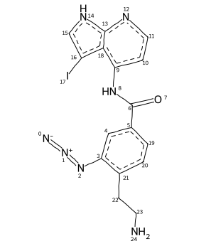 [N-]=[N+]=Nc1cc(C(=O)Nc2ccnc3[nH]cc(I)c23)ccc1CCN